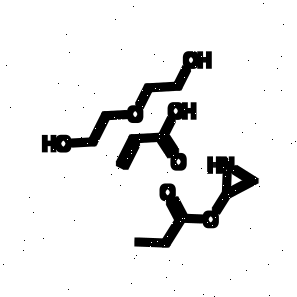 C=CC(=O)O.CCC(=O)OC1CN1.OCCOCCO